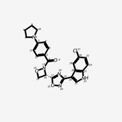 O=C(c1ccc(N2CCCC2)cc1)N1OC[C@H]1c1nc(-c2c[nH]c3ccc(Cl)cc23)no1